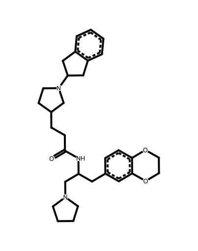 O=C(CCC1CCN(C2Cc3ccccc3C2)C1)NC(Cc1ccc2c(c1)OCCO2)CN1CCCC1